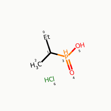 CCC(C)[PH](=O)O.Cl